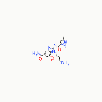 CCn1nc(C)cc1C(=O)/N=c1/n(C)c2cc(C(N)=O)cc(OC)c2n1C/C=C/CN